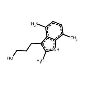 Cc1[nH]c2c(C)ccc(N)c2c1CCCO